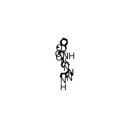 COC(=O)[C@@H](Cc1ccccc1)NC(=O)N1CCN(c2ncnc3[nH]ccc23)CC1